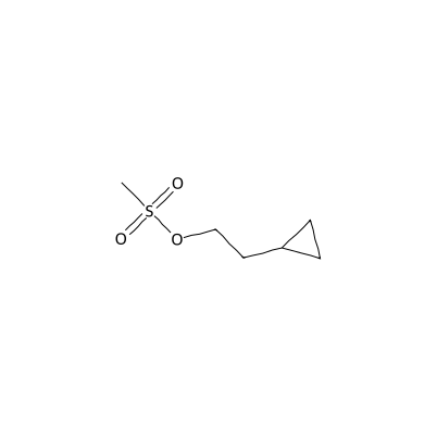 CS(=O)(=O)OCCC1CC1